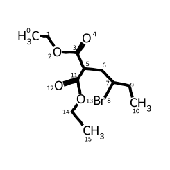 CCOC(=O)C(CC(Br)CC)C(=O)OCC